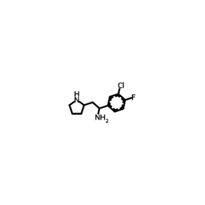 NC(CC1CCCN1)c1ccc(F)c(Cl)c1